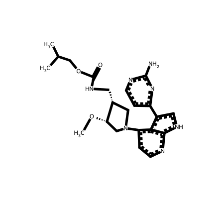 CO[C@H]1CN(c2ccnc3[nH]cc(-c4ccnc(N)n4)c23)C[C@H]1CNC(=O)OCC(C)C